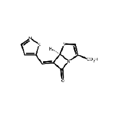 O=C(O)C1=CS[C@@H]2C(=Cc3ccns3)C(=O)N12